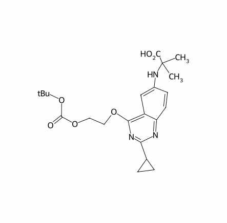 CC(C)(C)OC(=O)OCCOc1nc(C2CC2)nc2ccc(NC(C)(C)C(=O)O)cc12